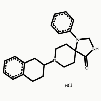 Cl.O=C1NCN(c2ccccc2)C12CCN(C1CCc3ccccc3C1)CC2